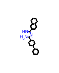 N=C(/N=C(\N)c1ccc(-c2ccccc2)cc1)c1ccc2ccccc2c1